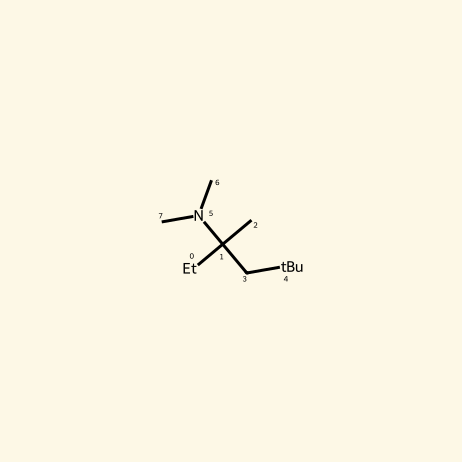 CCC(C)(CC(C)(C)C)N(C)C